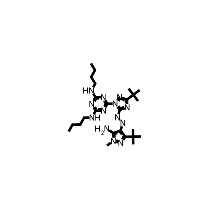 CCCCNc1nc(NCCCC)nc(-n2nc(C(C)(C)C)nc2/N=N/c2c(C(C)(C)C)nn(C)c2N)n1